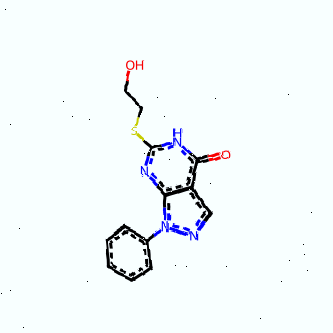 O=c1[nH]c(SCCO)nc2c1cnn2-c1ccccc1